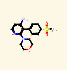 CS(=O)(=O)[C@@H]1C=CC(c2c(N)ccnc2N2CCOCC2)=CC1